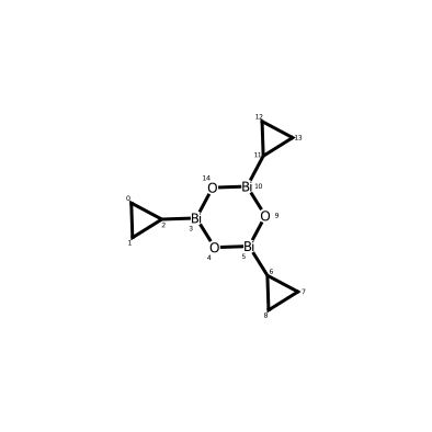 C1C[CH]1[Bi]1[O][Bi]([CH]2CC2)[O][Bi]([CH]2CC2)[O]1